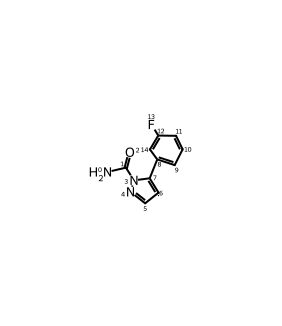 NC(=O)n1nc[c]c1-c1cccc(F)c1